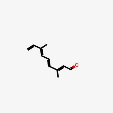 C=CC(C)=CC=CC(C)=CC=O